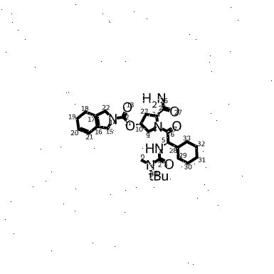 CN(C(=O)N[C@H](C(=O)N1C[C@H](OC(=O)N2CC3=C(CCC=C3)C2)C[C@H]1C(N)=O)C1CCCCC1)C(C)(C)C